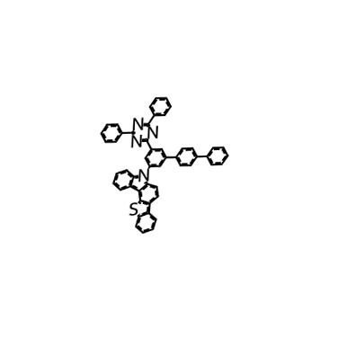 c1ccc(-c2ccc(-c3cc(-c4nc(-c5ccccc5)nc(-c5ccccc5)n4)cc(-n4c5ccccc5c5c6sc7ccccc7c6ccc54)c3)cc2)cc1